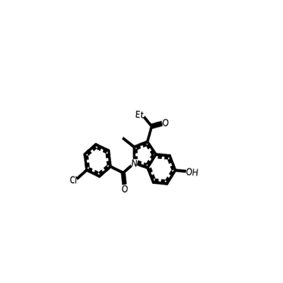 CCC(=O)c1c(C)n(C(=O)c2cccc(Cl)c2)c2ccc(O)cc12